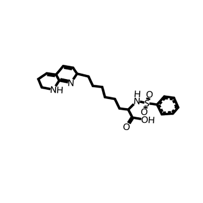 O=C(O)C(CCCCCCC1C=CC2=CCCNC2=N1)NS(=O)(=O)c1ccccc1